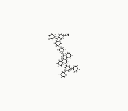 N#Cc1ccc2c(c1)c1cc(-c3ccc(-c4cc5c6ccccc6c(-c6cc(-c7ccccn7)cc(-c7ccccn7)c6)cc5c5ccccc45)cc3)ccc1n2-c1ccccc1